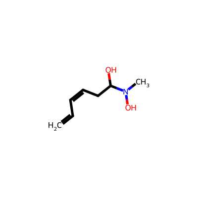 C=C/C=C\CC(O)N(C)O